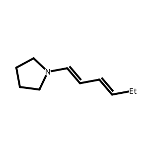 [CH2]CC=CC=CN1CCCC1